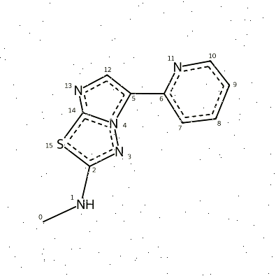 CNc1nn2c(-c3ccccn3)cnc2s1